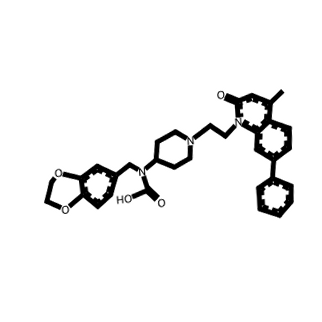 Cc1cc(=O)n(CCN2CCC(N(Cc3ccc4c(c3)OCCO4)C(=O)O)CC2)c2cc(-c3ccccc3)ccc12